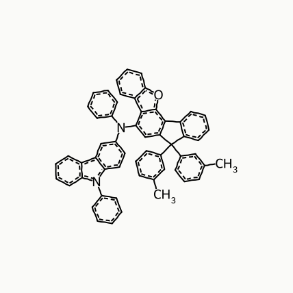 Cc1cccc(C2(c3cccc(C)c3)c3ccccc3-c3c2cc(N(c2ccccc2)c2ccc4c(c2)c2ccccc2n4-c2ccccc2)c2c3oc3ccccc32)c1